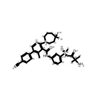 Cc1c(-c2ccc(C#N)cc2)cnc(N2CCCC(F)(F)CC2)c1C(=O)Nc1cccc(S(C)(=O)=NC(=O)C(C)(C)N)c1